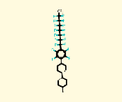 C[C@H]1CC[C@H]([C@H]2CC[C@H](c3c(F)c(F)c(C(F)(F)C(F)(F)C(F)(F)C(F)(F)C(F)(F)C(F)(F)C(F)(F)C(F)(F)F)c(F)c3F)CC2)CC1